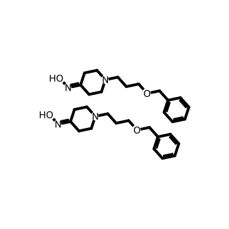 ON=C1CCN(CCCOCc2ccccc2)CC1.ON=C1CCN(CCCOCc2ccccc2)CC1